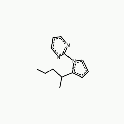 CCCC(C)c1cccn1-c1ncccn1